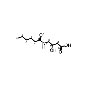 CCCCCC(=O)NC[C@H](O)CC(=O)O